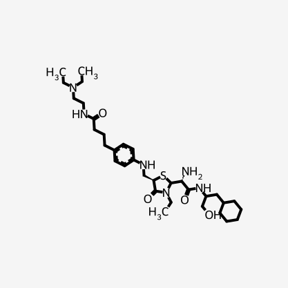 CCN(CC)CCNC(=O)CCCc1ccc(NC[C@H]2SC([C@H](N)C(=O)NC(CO)CC3CCCCC3)N(CC)C2=O)cc1